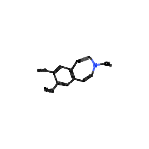 COc1cc2c(cc1OC)C=CN(C)C=C2